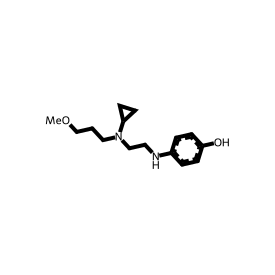 COCCCN(CCNc1ccc(O)cc1)C1CC1